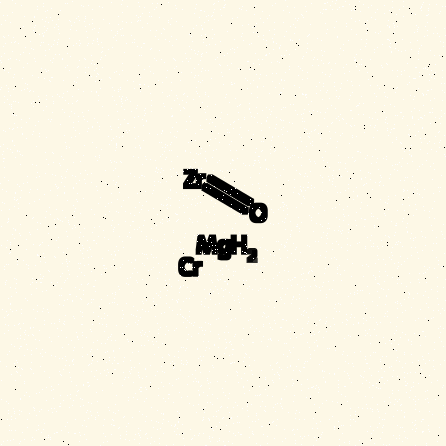 [Cr].[MgH2].[O]=[Zr]